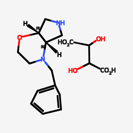 O=C(O)C(O)C(O)C(=O)O.c1ccc(CN2CCO[C@@H]3CNC[C@@H]32)cc1